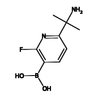 CC(C)(N)c1ccc(B(O)O)c(F)n1